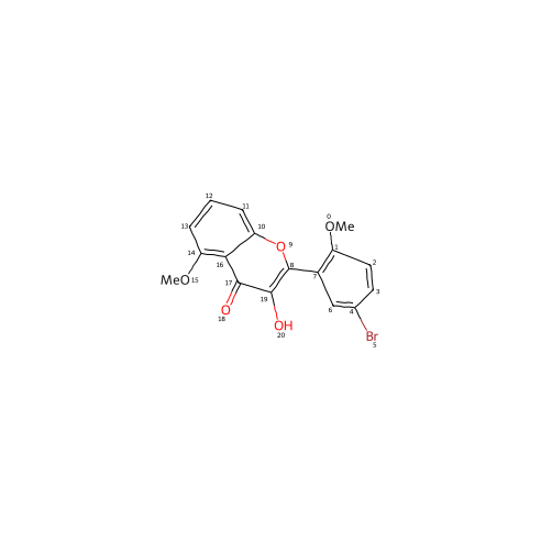 COc1ccc(Br)cc1-c1oc2cccc(OC)c2c(=O)c1O